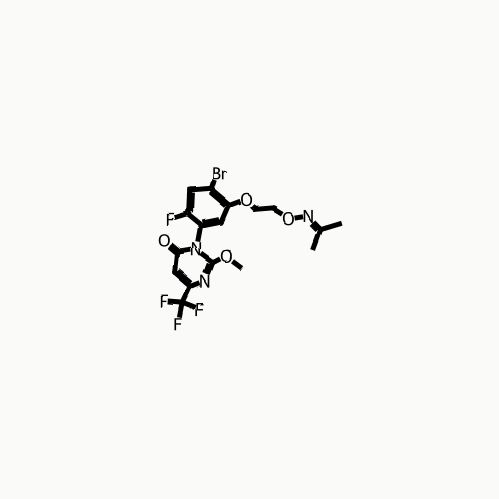 COc1nc(C(F)(F)F)cc(=O)n1-c1cc(OCCON=C(C)C)c(Br)cc1F